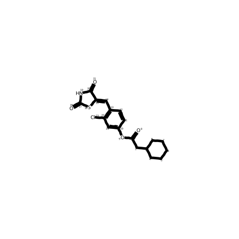 O=C(CC1CCCCC1)Oc1ccc(/C=C2\SC(=O)NC2=O)c(Cl)c1